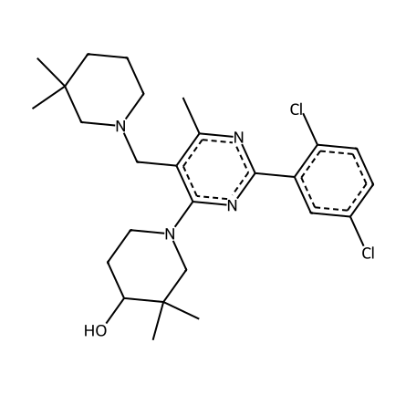 Cc1nc(-c2cc(Cl)ccc2Cl)nc(N2CCC(O)C(C)(C)C2)c1CN1CCCC(C)(C)C1